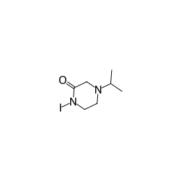 CC(C)N1CCN(I)C(=O)C1